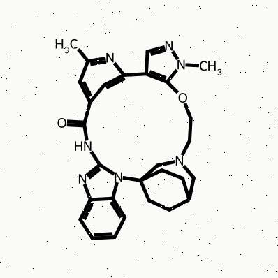 Cc1cc2cc(n1)-c1cnn(C)c1OCCN1CC3CCC(CC3)(C1)n1c(nc3ccccc31)NC2=O